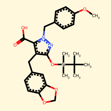 COc1ccc(Cn2nc(O[Si](C)(C)C(C)(C)C)c(Cc3ccc4c(c3)OCO4)c2C(=O)O)cc1